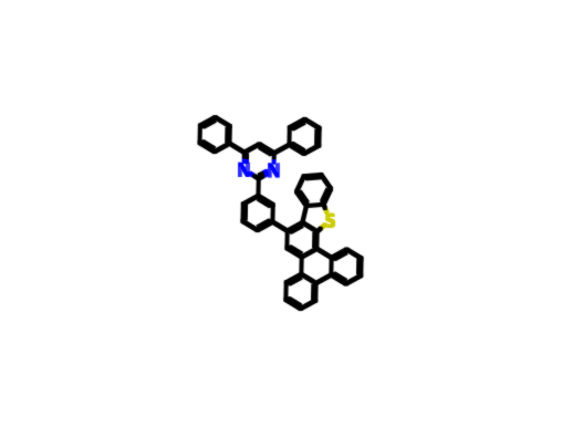 c1ccc(-c2cc(-c3ccccc3)nc(-c3cccc(-c4cc5c6ccccc6c6ccccc6c5c5sc6ccccc6c45)c3)n2)cc1